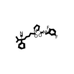 CC(C)[C@@](C#N)(CCCCC(=O)N1CCC[C@@H]1C(=O)NCc1cc(F)ccc1F)c1ccccc1